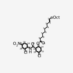 CCCCCCCCC=CCCCCCCCC(=O)Oc1ccc(Cl)cc1C(=O)Nc1ccc([N+](=O)[O-])cc1Cl